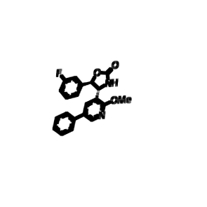 COc1ncc(-c2ccccc2)cc1[C@H]1NC(=O)O[C@@H]1c1cccc(F)c1